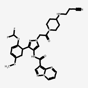 CSC1=CC=C(OC(F)F)C(c2nn(CC(=O)N3CCC(NCCC#N)CC3)cc2NC(=O)c2cnn3cccnc23)C1